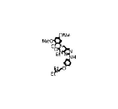 CCN(CC)CCOc1ccc(Nc2ncc3c(n2)N(CC)C(=O)N(c2cc(OC)cc(OC)c2Cl)C3)cc1